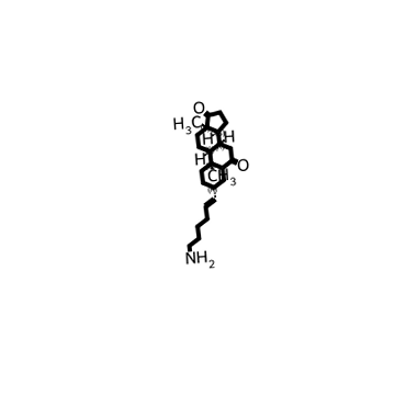 C[C@]12CC[C@@H](C=CCCCCN)CC1C(=O)C[C@@H]1[C@@H]2CC[C@]2(C)C(=O)CC[C@@H]12